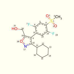 CS(=O)(=O)c1cc(F)c(-c2c(C3CCCCC3)noc2CO)cc1F